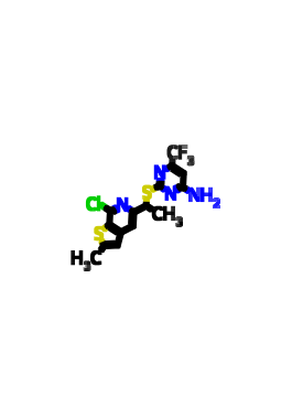 Cc1cc2cc(C(C)Sc3nc(N)cc(C(F)(F)F)n3)nc(Cl)c2s1